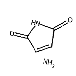 N.O=C1C=CC(=O)N1